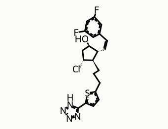 O[C@@H]1C[C@@H](Cl)[C@H](CCCc2ccc(-c3nnn[nH]3)s2)[C@H]1/C=C\c1cc(F)cc(F)c1